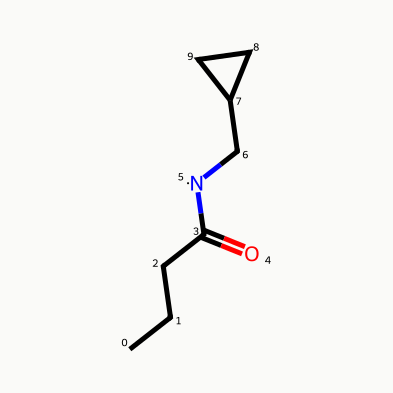 CCCC(=O)[N]CC1CC1